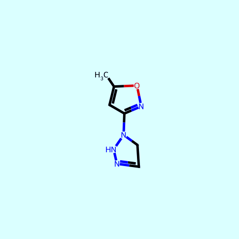 Cc1cc(N2CC=NN2)no1